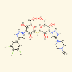 CN1CCN(c2cn(C3C(O)[C@@H](CO)OC(S[C@@H]4OC(CO)[C@H](O)C(n5cc(-c6cc(F)c(F)c(F)c6)nn5)[C@@H]4O)[C@@H]3O)nn2)CC1